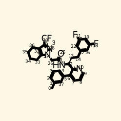 Cc1cccc(-c2cccnc2[C@H](CCc2cc(F)cc(F)c2)NC(=O)Cn2nc(C(F)(F)F)c3c2CCCC3)c1